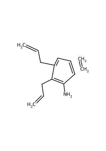 C=C.C=CCc1cccc(N)c1CC=C